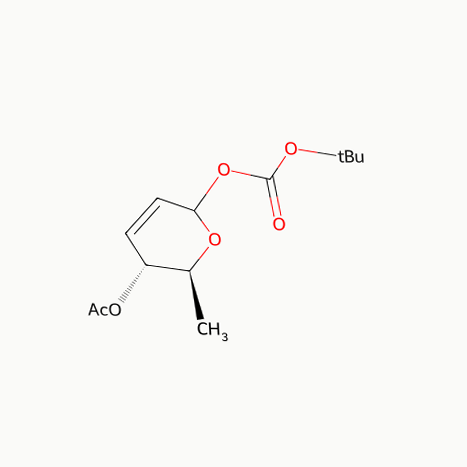 CC(=O)O[C@@H]1C=CC(OC(=O)OC(C)(C)C)O[C@H]1C